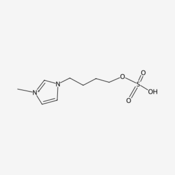 C[n+]1ccn(CCCCOS(=O)(=O)O)c1